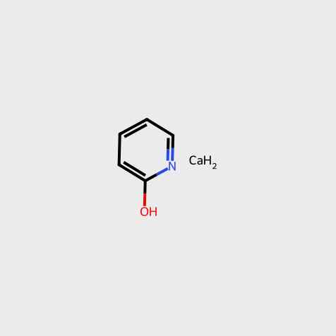 Oc1ccccn1.[CaH2]